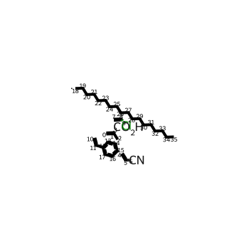 C=C(C)C(=O)O.C=CC#N.C=CCl.C=Cc1ccccc1.[CH2]CCCCCCCCCCCCCCCCC